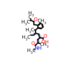 CC/C=C(/C=C(\C=C(/C)C(=O)NC)C(=O)O)C(C)c1cccc(C)c1CC(=O)C(C)C